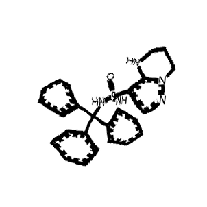 N=S(=O)(NC(c1ccccc1)(c1ccccc1)c1ccccc1)c1cnn2c1NCCC2